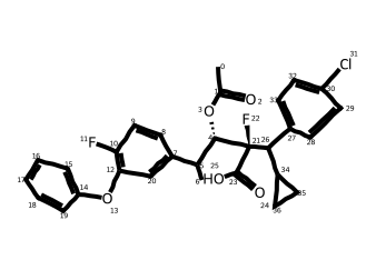 CC(=O)O[C@@H](C(C)c1ccc(F)c(Oc2ccccc2)c1)[C@@](F)(C(=O)O)C(c1ccc(Cl)cc1)C1CC1